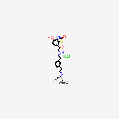 COC[C@H](CC(C)C)NCCc1cccc(CCNC[C@H](O)c2ccc(O)c3[nH]c(=O)sc23)c1.Cl.Cl